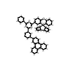 c1ccc(-c2nc(-c3cccc(-c4ccc5c6ccccc6c6ccccc6c5c4)c3)nc(-c3ccc4c(c3)C3(c5ccccc5O4)c4ccccc4-c4ccccc43)n2)cc1